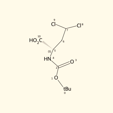 CC(C)(C)OC(=O)N[C@@H](CC(Cl)Cl)C(=O)O